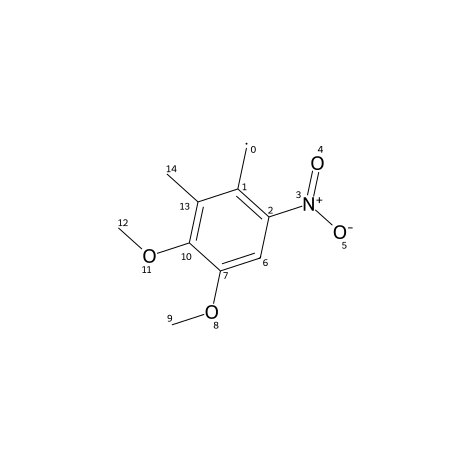 [CH2]c1c([N+](=O)[O-])cc(OC)c(OC)c1C